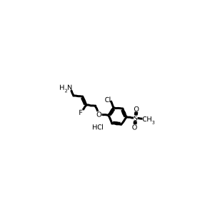 CS(=O)(=O)c1ccc(OCC(F)=CCN)c(Cl)c1.Cl